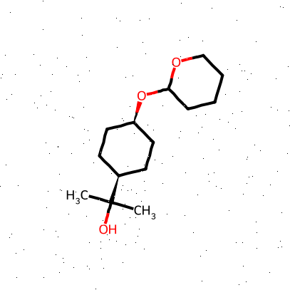 CC(C)(O)[C@H]1CC[C@@H](OC2CCCCO2)CC1